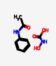 CC(=O)Nc1ccccc1.O=C(O)NO